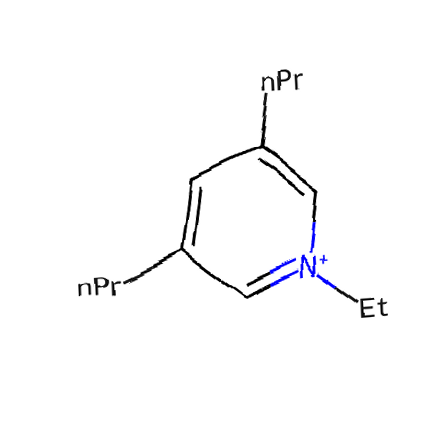 CCCc1cc(CCC)c[n+](CC)c1